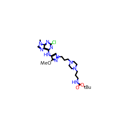 COc1nn(CCCN2CCN(CCCNC(=O)OC(C)(C)C)CC2)cc1Nc1nc(Cl)nc2c1ncn2C